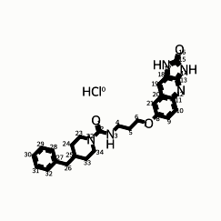 Cl.O=C(NCCCOc1ccc2nc3[nH]c(=O)[nH]c3cc2c1)N1CCC(Cc2ccccc2)CC1